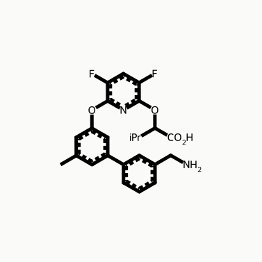 Cc1cc(Oc2nc(OC(C(=O)O)C(C)C)c(F)cc2F)cc(-c2cccc(CN)c2)c1